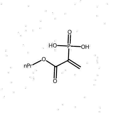 C=C(C(=O)OCCC)P(=O)(O)O